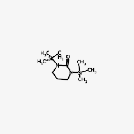 C[Si](C)(C)N1CCCN([Si](C)(C)C)C1=O